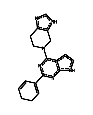 C1=CC(c2nc(N3CCc4nc[nH]c4C3)c3cc[nH]c3n2)=CCC1